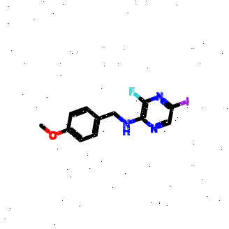 COc1ccc(CNc2ncc(I)nc2F)cc1